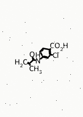 C=C(C)C(=O)Nc1ccc(C(=O)O)c(Cl)c1